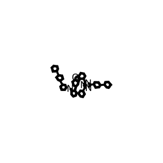 c1ccc(-c2ccc(-c3cccc(-n4c5ccccc5c5cc6c(cc54)oc4cccc(-c5nc(-c7ccccc7)nc(-c7ccc(-c8ccccc8)cc7)n5)c46)c3)cc2)cc1